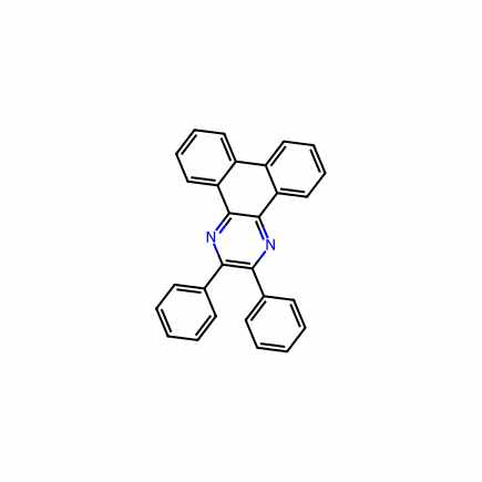 c1ccc(-c2nc3c4ccccc4c4ccccc4c3nc2-c2ccccc2)cc1